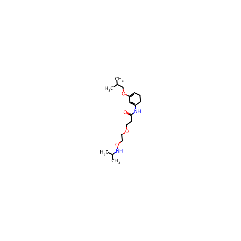 CC(C)COC1=CCCC(NC(=O)CCOCCONC(C)C)=C1